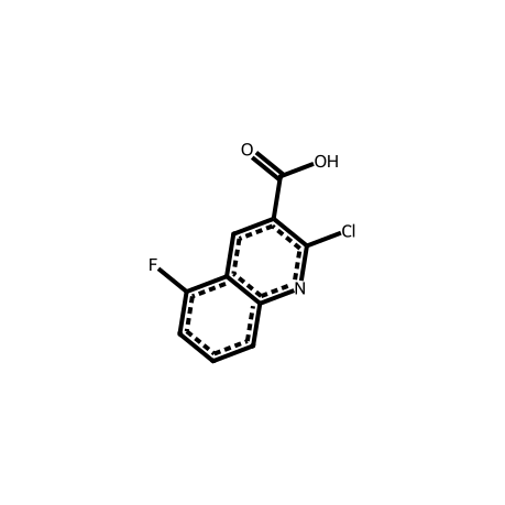 O=C(O)c1cc2c(F)cccc2nc1Cl